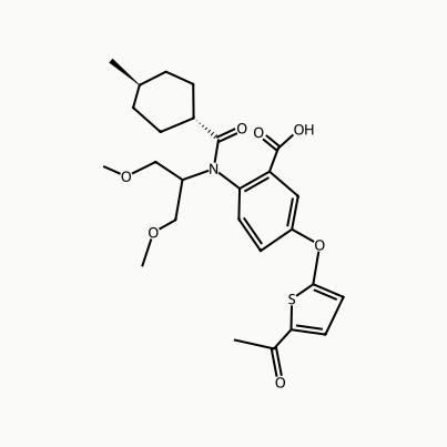 COCC(COC)N(c1ccc(Oc2ccc(C(C)=O)s2)cc1C(=O)O)C(=O)[C@H]1CC[C@H](C)CC1